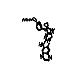 COC12CCC(n3c(=O)n(C)c4cnc(Nc5cc6nccnc6cc5C)nc43)(CC1)C2